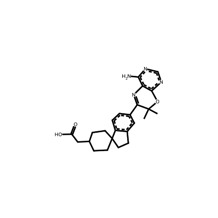 CC1(C)Oc2ncnc(N)c2N=C1c1ccc2c(c1)CCC21CCC(CC(=O)O)CC1